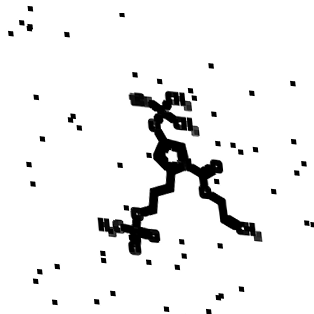 C=CCOC(=O)n1cc(O[Si](C)(C)C(C)(C)C)cc1CCCOS(C)(=O)=O